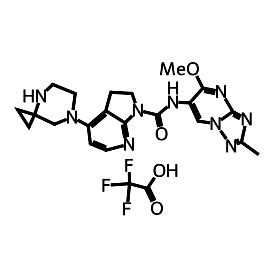 COc1nc2nc(C)nn2cc1NC(=O)N1CCc2c(N3CCNC4(CC4)C3)ccnc21.O=C(O)C(F)(F)F